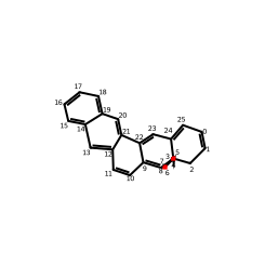 C1=CCC23C=CC=CC2=c2ccc4cc5ccccc5cc4c2=CC3=C1